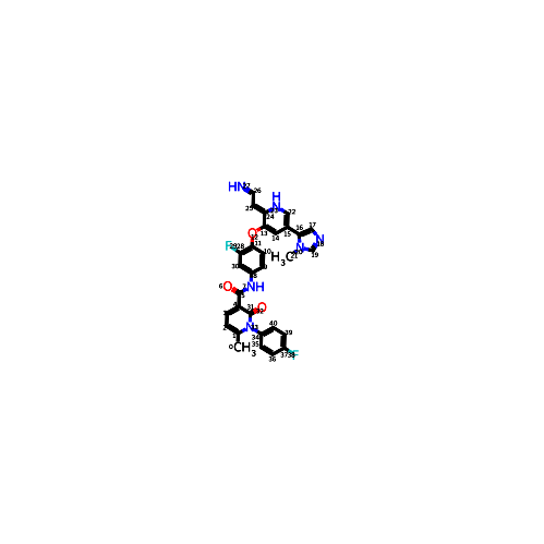 Cc1ccc(C(=O)Nc2ccc(OC3=CC(c4cncn4C)=CN/C3=C\C=N)c(F)c2)c(=O)n1-c1ccc(F)cc1